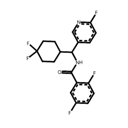 O=C(NC(c1ccc(F)nc1)C1CCC(F)(F)CC1)c1cc(F)ccc1F